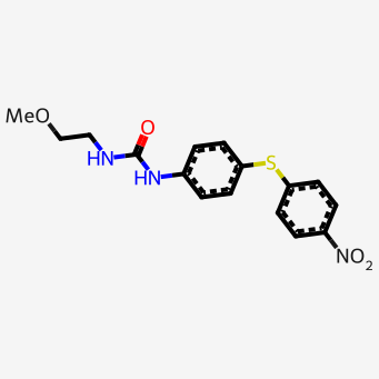 COCCNC(=O)Nc1ccc(Sc2ccc([N+](=O)[O-])cc2)cc1